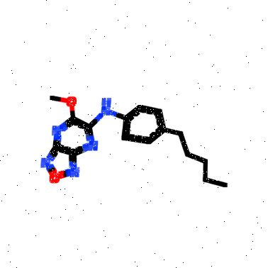 CCCCCc1ccc(Nc2nc3nonc3nc2OC)cc1